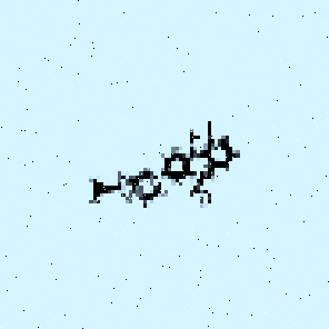 O=CN1CC2=CC=CNC2Nc2ccc(N3CCn4nc(C5CC5)nc4C3)cc21